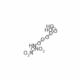 O=[N+]([O-])c1ccc(NCCOCCOCCOCCOCC2OCCC(O)C2O)c([N+](=O)[O-])c1